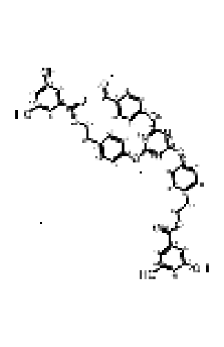 O=Cc1ccc(Oc2nc(Oc3ccc(CCOC(=O)c4cc(O)cc(O)c4)cc3)nc(Oc3ccc(CCOC(=O)c4cc(O)cc(O)c4)cc3)n2)cc1